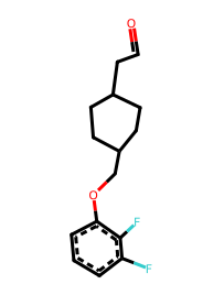 O=CCC1CCC(COc2cccc(F)c2F)CC1